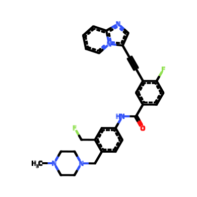 CN1CCN(Cc2ccc(NC(=O)c3ccc(F)c(C#Cc4cnc5ccccn45)c3)cc2CF)CC1